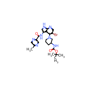 Cc1cnc(C(=O)Nc2c[nH]c3ncc(Br)c(N4CCCC(NC(=O)OC(C)(C)C)C4)c23)cn1